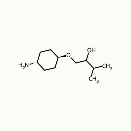 CC(C)C(O)CO[C@H]1CC[C@H](N)CC1